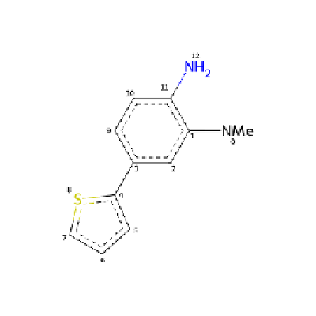 CNc1cc(-c2cccs2)ccc1N